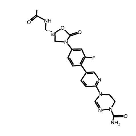 CC(=O)NC[C@H]1CN(c2ccc(-c3ccc(N4C=NN(C(N)=O)CC4)nc3)c(F)c2)C(=O)O1